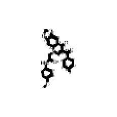 COc1ccc(NC(=O)Cn2cc(C(=O)c3ccc(F)cc3)c(=O)c3cc4c(cc32)OCO4)cc1